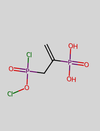 C=C(CP(=O)(Cl)OCl)P(=O)(O)O